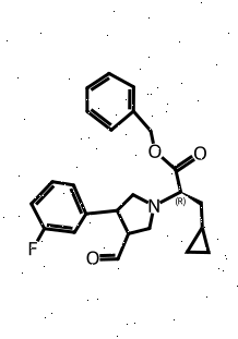 O=CC1CN([C@H](CC2CC2)C(=O)OCc2ccccc2)CC1c1cccc(F)c1